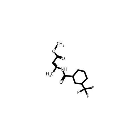 COC(=O)/C=C(/C)NC(=O)C1CCCC(C(F)(F)F)C1